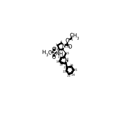 CCOC(=O)N1CC[C@H](NS(C)(=O)=O)[C@@H]1Cc1cccc(-c2ccccc2)n1